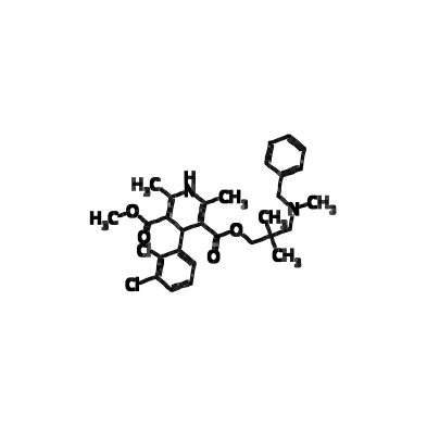 COC(=O)C1=C(C)NC(C)=C(C(=O)OCC(C)(C)CN(C)Cc2ccccc2)C1c1cccc(Cl)c1Cl